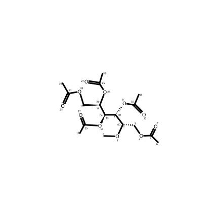 CO[C@@H](COC(C)=O)[C@@H](OC(C)=O)[C@@H](OC(C)=O)[C@@H](COC(C)=O)OC(C)=O